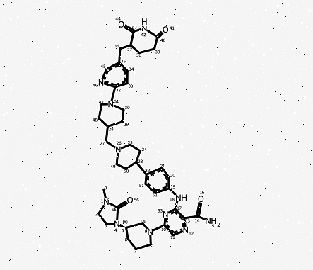 CN1CCN([C@@H]2CCCN(c3cnc(C(N)=O)c(Nc4ccc(C5CCN(CC6CCN(c7ccc(CC8CCC(=O)NC8=O)cn7)CC6)CC5)cc4)n3)C2)C1=O